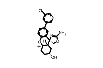 NC1=N[C@]2(CO1)c1cc(-c3cncc(Cl)c3)ccc1O[C@@H]1CC[C@@H](O)C[C@H]12